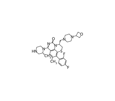 Cc1cc2c(N3CCNC[C@@H]3C)nc(=O)n3c2c(c1-c1ccc(F)cc1F)SC[C@@H]3CN1CCN(C2COC2)CC1